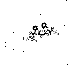 CN(C)C(=O)[C@H](Cc1ccccc1)NC(=O)C1OC1C(=O)Nc1ccccc1C(N)C(=O)OC(C)(C)C